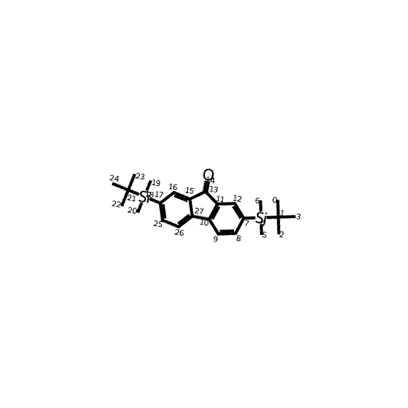 CC(C)(C)[Si](C)(C)c1ccc2c(c1)C(=O)c1cc([Si](C)(C)C(C)(C)C)ccc1-2